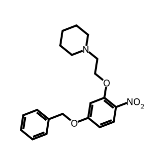 O=[N+]([O-])c1ccc(OCc2ccccc2)cc1OCCN1CCCCC1